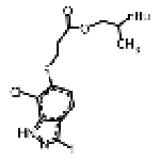 CCCCC(C)COC(=O)CCSc1ccc2c(I)n[nH]c2c1Cl